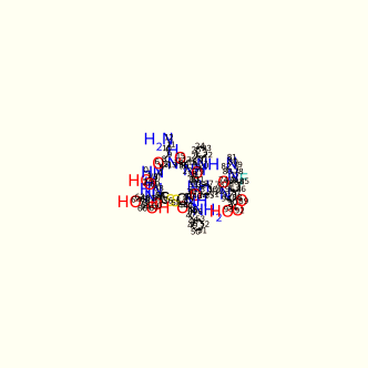 CC(O)[C@@H]1NC(=O)[C@H](CCCCN)NC(=O)[C@@H](Cc2c[nH]c3ccccc23)NC(=O)[C@H](Cc2ccccc2)NC(=O)[C@@H](NC(=O)[C@H](N)Cc2ccccc2)CSSC[C@@H](C(=O)N[C@H](CO)[C@@H](C)O)NC1=O.CC1COc2c(N3CCN(C)CC3)c(F)cc3c(=O)c(C(=O)O)cn1c23